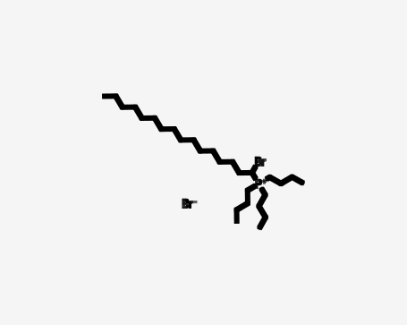 CCCCCCCCCCCCCCCC(Br)[P+](CCCC)(CCCC)CCCC.[Br-]